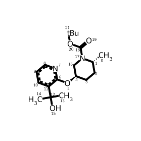 C[C@@H]1CC[C@@H](Oc2ncccc2C(C)(C)O)CN1C(=O)OC(C)(C)C